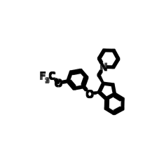 FC(F)(F)Oc1cccc(O[C@@H]2c3ccccc3C[C@@H]2CN2CCCCC2)c1